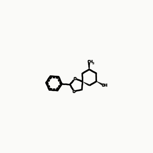 C[C@H]1C[C@H](O)C[C@@]2(COC(c3ccccc3)O2)C1